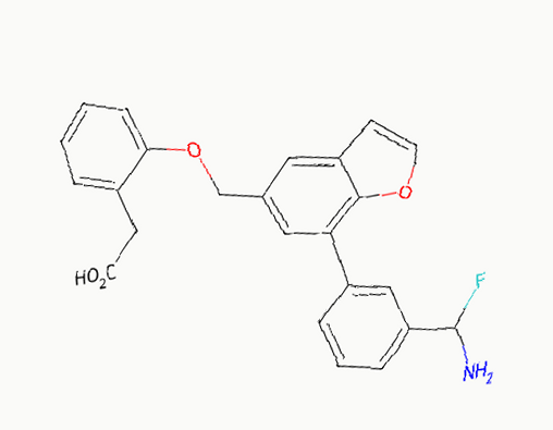 NC(F)c1cccc(-c2cc(COc3ccccc3CC(=O)O)cc3ccoc23)c1